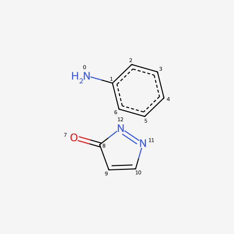 Nc1ccccc1.O=C1C=CN=N1